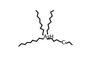 CCCCCCCCC[AsH](CCCCCCCCC)(CCCCCCCCC)CCCCCCCCC